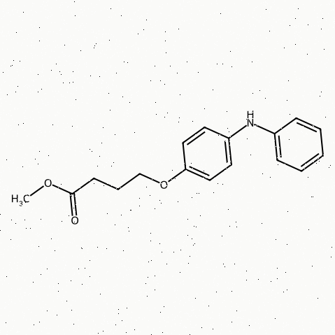 COC(=O)CCCOc1ccc(Nc2ccccc2)cc1